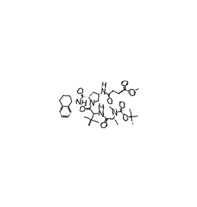 COC(=O)CCC(=O)N[C@H]1C[C@@H](C(=O)N[C@@H]2CCCc3ccccc32)N(C(=O)C(NC(=O)C(C)N(C)C(=O)OC(C)(C)C)C(C)(C)C)C1